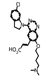 CN(C)CCCCOc1cc2ncnc(N3CCc4ccc(Cl)cc43)c2cc1C=CC(=O)O